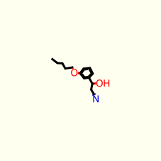 CCCCCOc1cccc(C(O)CC#N)c1